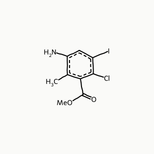 COC(=O)c1c(C)c(N)cc(I)c1Cl